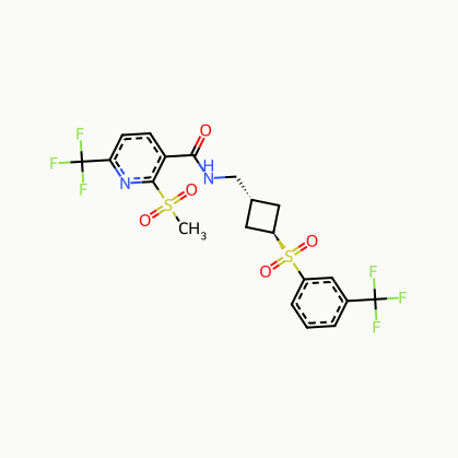 CS(=O)(=O)c1nc(C(F)(F)F)ccc1C(=O)NC[C@H]1C[C@H](S(=O)(=O)c2cccc(C(F)(F)F)c2)C1